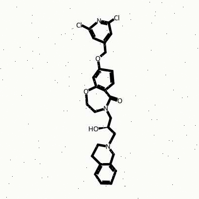 O=C1c2ccc(OCc3cc(Cl)nc(Cl)c3)cc2OCCN1C[C@H](O)CN1CCc2ccccc2C1